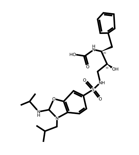 CC(C)CN1c2ccc(S(=O)(=O)NC[C@H](O)[C@H](Cc3ccccc3)NC(=O)O)cc2OC1NC(C)C